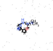 CN(C)CCN1CCNc2ccn3ncc(c3n2)-c2cccc(c2)OCC1